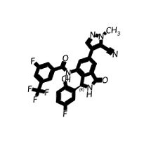 Cn1ncc(-c2cc(NC(=O)c3cc(F)cc(C(F)(F)F)c3)c3c(c2)C(=O)N[C@H]3c2cc(F)ccc2Cl)c1C#N